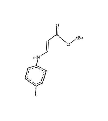 Cc1ccc(NC=CC(=O)OC(C)(C)C)cc1